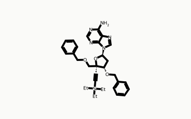 CC[Si](C#C[C@]1(COCc2ccccc2)O[C@@H](n2cnc3c(N)ncnc32)C[C@@H]1OCc1ccccc1)(CC)CC